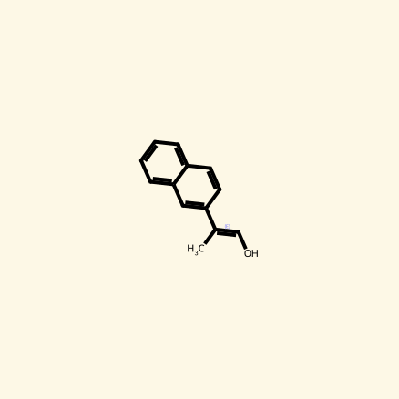 C/C(=C\O)c1ccc2ccccc2c1